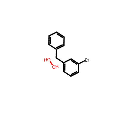 CCc1cccc(Cc2ccccc2)c1.OO